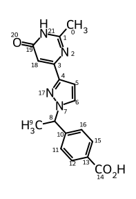 Cc1nc(-c2ccn(C(C)c3ccc(C(=O)O)cc3)n2)cc(=O)[nH]1